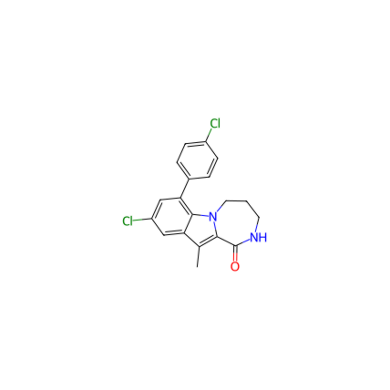 Cc1c2n(c3c(-c4ccc(Cl)cc4)cc(Cl)cc13)CCCNC2=O